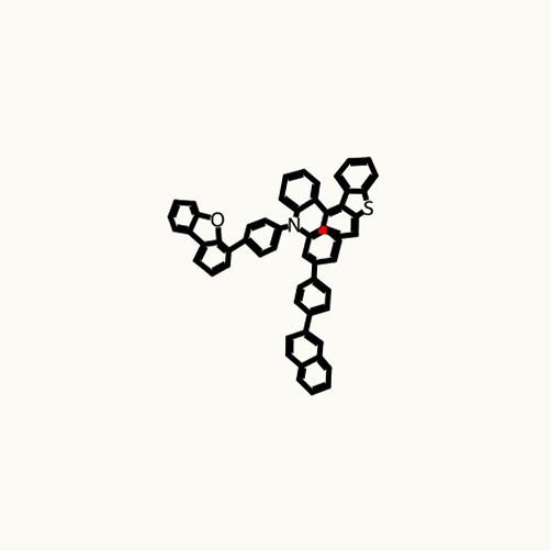 c1cc(-c2ccc(-c3ccc4ccccc4c3)cc2)cc(N(c2ccc(-c3cccc4c3oc3ccccc34)cc2)c2ccccc2-c2cccc3sc4ccccc4c23)c1